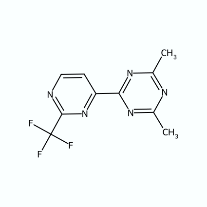 Cc1nc(C)nc(-c2ccnc(C(F)(F)F)n2)n1